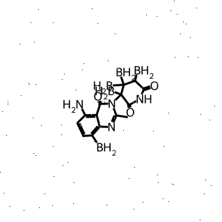 Bc1ccc(N)c2c(=O)n(C3(B)C(=O)NC(=O)C(B)C3(B)B)c(C)nc12